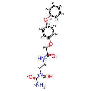 NC(=O)N(O)CCNC(=O)COc1ccc(Oc2ccccc2)cc1